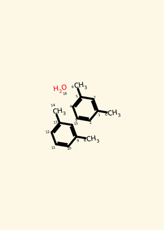 Cc1cccc(C)c1.Cc1cccc(C)c1.O